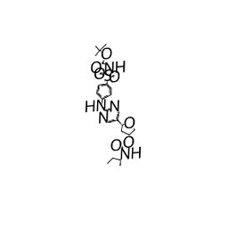 CC[C@H](C)NC(=O)O[C@H]1CO[C@H](c2cnc(Nc3ccc(S(=O)(=O)NC(=O)OC(C)(C)C)cc3)nc2)C1